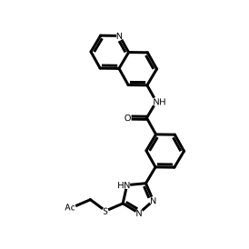 CC(=O)CSc1nnc(-c2cccc(C(=O)Nc3ccc4ncccc4c3)c2)[nH]1